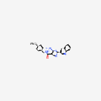 COc1ccc(CNC(=O)c2cnc(-c3cnc4ccccc4c3)nc2N)cc1